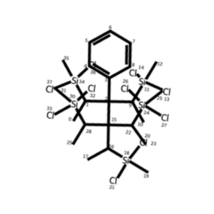 CC(C(c1ccccc1)(C(C)[Si](C)(Cl)Cl)C(C(C)[Si](C)(Cl)Cl)(C(C)[Si](C)(Cl)Cl)C(C)[Si](C)(Cl)Cl)[Si](C)(Cl)Cl